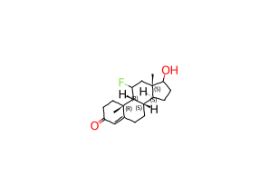 C[C@]12CCC(=O)C=C1CC[C@@H]1[C@H]2C(F)C[C@]2(C)C(O)CC[C@@H]12